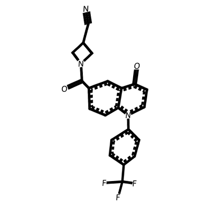 N#CC1CN(C(=O)c2ccc3c(c2)c(=O)ccn3-c2ccc(C(F)(F)F)cc2)C1